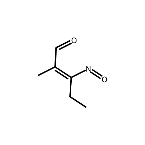 CC/C(N=O)=C(\C)C=O